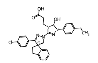 CCc1ccc(N2N=C(N3C[C@@]4(CCc5ccccc54)C(c4ccc(Cl)cc4)=N3)N(CCC(=O)O)C2O)cc1